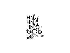 CN=C(NC)NC(=O)Nc1c(OC)c(OC)cc(OC)c1OC